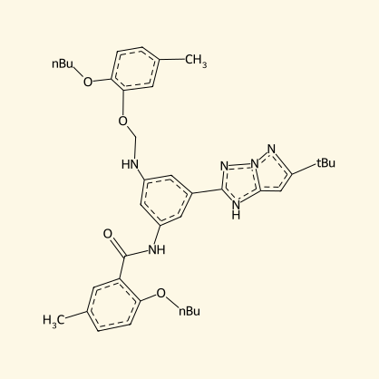 CCCCOc1ccc(C)cc1OCNc1cc(NC(=O)c2cc(C)ccc2OCCCC)cc(-c2nn3nc(C(C)(C)C)cc3[nH]2)c1